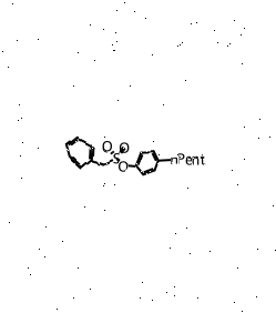 CCCCCc1ccc(OS(=O)(=O)Cc2ccccc2)cc1